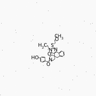 C=CCn1c(SCCOC)nc2c(c1=O)C1(CCN(C(=O)c3ccc(O)cc3)CC1)Cc1ccccc1-2